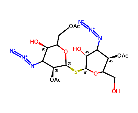 CC(=O)OCC1O[C@@H](S[C@@H]2OC(CO)[C@H](OC(C)=O)C(N=[N+]=[N-])[C@H]2O)[C@@H](OC(C)=O)C(N=[N+]=[N-])[C@H]1O